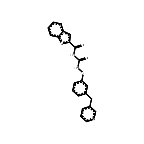 O=C(NSc1cccc(Cc2cccnc2)c1)NC(=O)c1cc2ccccc2o1